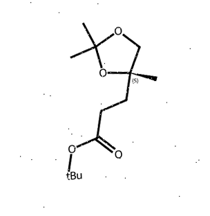 CC(C)(C)OC(=O)CC[C@@]1(C)COC(C)(C)O1